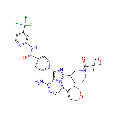 CC1(C(=O)N2CCCC(c3nc(-c4ccc(C(=O)Nc5cc(C(F)(F)F)ccn5)cc4)c4c(N)ncc(C5=CCOCC5)n34)C2)COC1